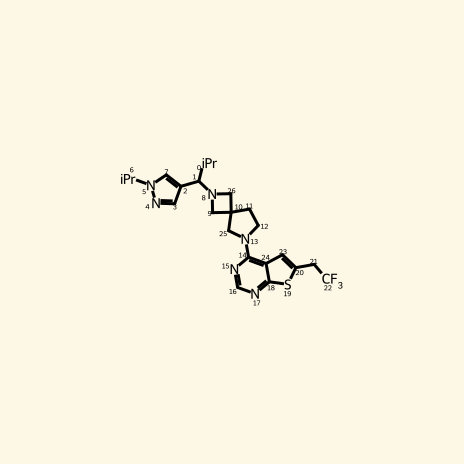 CC(C)C(c1cnn(C(C)C)c1)N1CC2(CCN(c3ncnc4sc(CC(F)(F)F)cc34)C2)C1